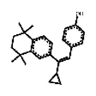 CC1(C)CCC(C)(C)c2cc(/C(=C\c3ccc(O)cc3)C3CC3)ccc21